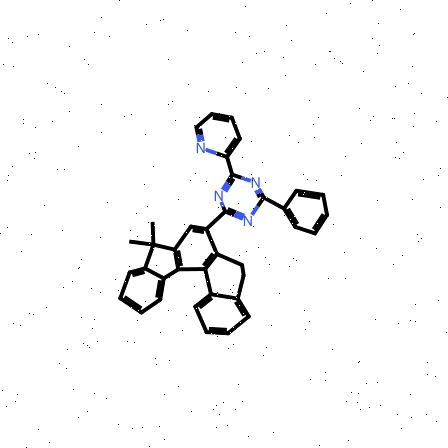 CC1(C)c2ccccc2-c2c1cc(-c1nc(-c3ccccc3)nc(-c3ccccn3)n1)c1c2-c2ccccc2CC1